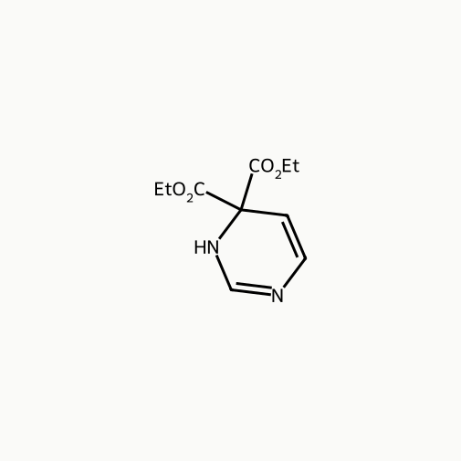 CCOC(=O)C1(C(=O)OCC)C=CN=CN1